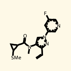 C=Cc1nn(-c2cncc(F)c2)cc1N(C)C(=O)C1CC1SC